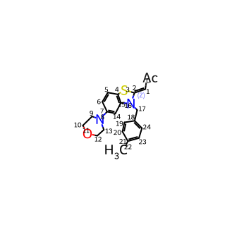 CC(=O)/C=C1\Sc2ccc(N3CCOCC3)cc2N1Cc1ccc(C)cc1